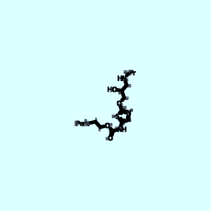 CCCC(C)CCOC(=O)Nc1cnc(OCC(O)CNC(C)C)s1